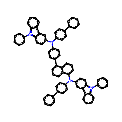 c1ccc(-c2ccc(N(c3ccc(-c4cccc5c(N(c6ccc(-c7ccccc7)cc6)c6ccc7c(c6)c6ccccc6n7-c6ccccc6)cccc45)cc3)c3ccc4c(c3)c3ccccc3n4-c3ccccc3)cc2)cc1